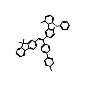 CC1C=CC(c2ccc(/C(=C\c3ccc4c(c3)C(C)(C)c3ccccc3-4)c3ccc4c(c3)C3C(=CC=CC3C)N4c3ccccc3)cc2)=CC1